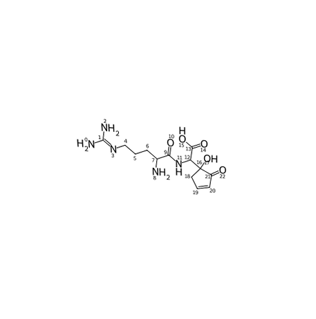 NC(N)=NCCCC(N)C(=O)NC(C(=O)O)C1(O)CC=CC1=O